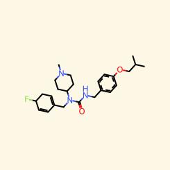 CC(C)COc1ccc(CNC(=O)N(CC2=CCC(F)C=C2)C2CCN(C)CC2)cc1